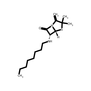 C=C1N2C(=O)[C@@H](NCCCCCCCC)[C@H]2SC1(C)C